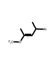 C/C(=C\C(C)C(C)C)OC(F)(F)F